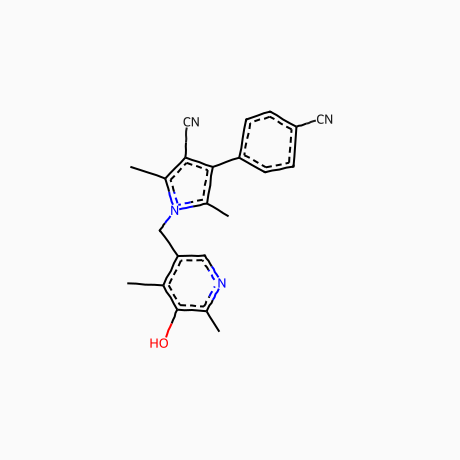 Cc1ncc(Cn2c(C)c(C#N)c(-c3ccc(C#N)cc3)c2C)c(C)c1O